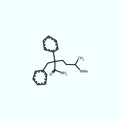 CNC(C)CCC(Cc1ccccc1)(C(N)=O)c1ccccc1